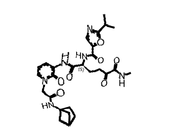 CNC(=O)C(=O)CC[C@H](NC(=O)c1cnc(C(C)C)o1)C(=O)Nc1cccn(CC(=O)NC23CCC(C2)C3)c1=O